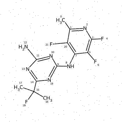 Cc1nc(F)c(F)c(Nc2nc(N)nc(C(C)(C)F)n2)c1F